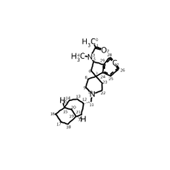 CC(=O)N(C)[C@@H]1CC2(CCN(C[C@H]3CC[C@H]4CCC[C@@H](C4)C3)CC2)c2ccccc21